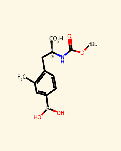 CC(C)(C)OC(=O)N[C@@H](Cc1ccc(B(O)O)cc1C(F)(F)F)C(=O)O